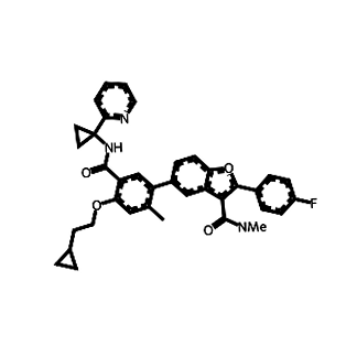 CNC(=O)c1c(-c2ccc(F)cc2)oc2ccc(-c3cc(C(=O)NC4(c5ccccn5)CC4)c(OCCC4CC4)cc3C)cc12